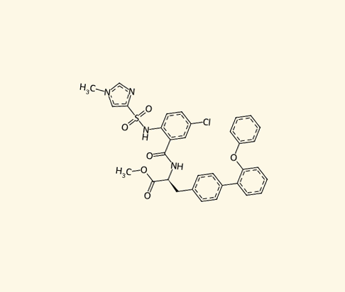 COC(=O)[C@H](Cc1ccc(-c2ccccc2Oc2ccccc2)cc1)NC(=O)c1cc(Cl)ccc1NS(=O)(=O)c1cn(C)cn1